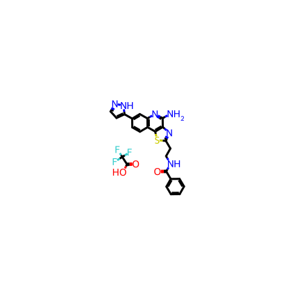 Nc1nc2cc(-c3ccn[nH]3)ccc2c2sc(CCNC(=O)c3ccccc3)nc12.O=C(O)C(F)(F)F